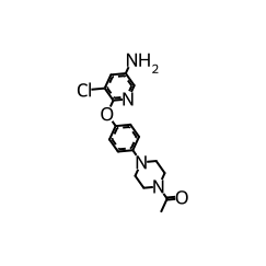 CC(=O)N1CCN(c2ccc(Oc3ncc(N)cc3Cl)cc2)CC1